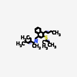 C=C/C(=C\CC)C(=C)/N=C/c1cc(S/C(C)=C/C)c(/C=C/CC)c2ccccc12